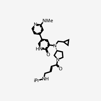 CNc1cc(-c2c[nH]c(=O)c(N(CC3CC3)[C@@H]3CCN(C(=O)C=CCNC(C)C)C3)c2)ccn1